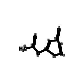 CC(=O)OC1=CC(=O)C=NC1